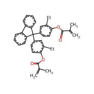 C=C(C)C(=O)Oc1ccc(C2(c3ccc(OC(=O)C(=C)C)c(CC)c3)c3ccccc3-c3ccccc32)cc1CC